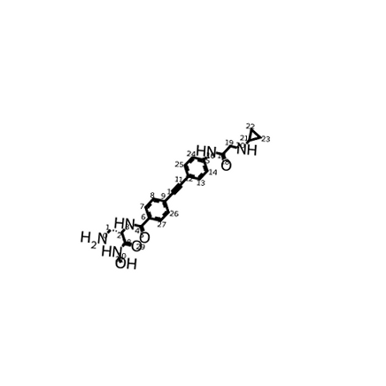 NC[C@H](NC(=O)c1ccc(C#Cc2ccc(NC(=O)CNC3CC3)cc2)cc1)C(=O)NO